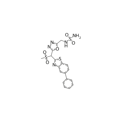 CS(=O)(=O)C(c1nnc(CNS(N)(=O)=O)o1)c1nc2cc(-c3ccccc3)ccc2s1